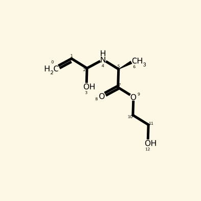 C=CC(O)N[C@@H](C)C(=O)OCCO